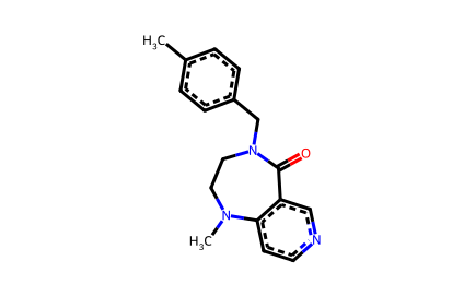 Cc1ccc(CN2CCN(C)c3ccncc3C2=O)cc1